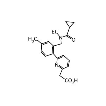 CCN(Cc1cc(C)ccc1-c1cccc(CC(=O)O)n1)C(=O)C1CC1